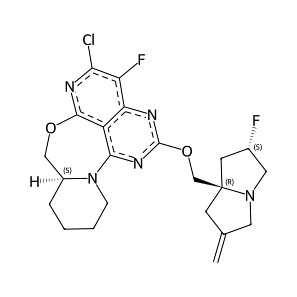 C=C1CN2C[C@@H](F)C[C@@]2(COc2nc3c4c(nc(Cl)c(F)c4n2)OC[C@@H]2CCCCN32)C1